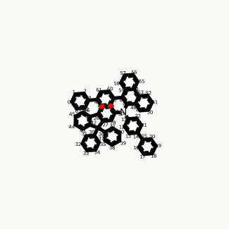 c1ccc(-c2ccc(-c3c(N(c4ccc(-c5ccccc5)cc4)c4ccc5c(c4)C(c4ccccc4)(c4ccccc4)c4ccccc4-5)c4ccccc4c4ccccc34)cc2)cc1